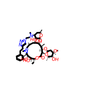 CC[C@H]1OC(=O)[C@H](C)[C@@H](O[C@H]2C[C@@](C)(OC)[C@@H](O)[C@H](C)O2)[C@H](C)[C@@H](O[C@@H]2O[C@H](C)C[C@H](N(C)CCn3cc(CCc4ccccc4)nn3)[C@H]2O)[C@](C)(O)C[C@@H](C)CN(C)[C@H](C)[C@@H](O)[C@]1(C)O